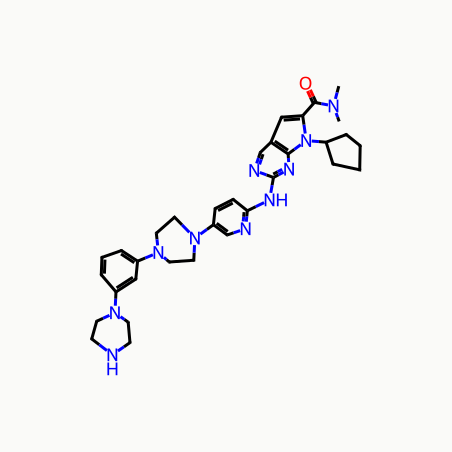 CN(C)C(=O)c1cc2cnc(Nc3ccc(N4CCN(c5cccc(N6CCNCC6)c5)CC4)cn3)nc2n1C1CCCC1